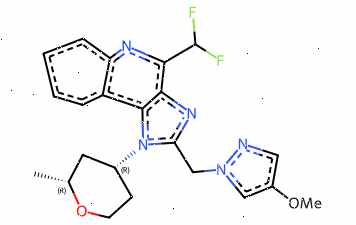 COc1cnn(Cc2nc3c(C(F)F)nc4ccccc4c3n2[C@@H]2CCO[C@H](C)C2)c1